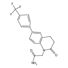 NC(=O)CN1C(=O)CCc2cc(-c3ccc(C(F)(F)F)cc3)ccc21